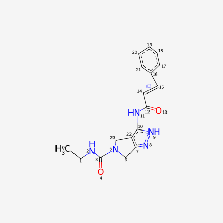 CCNC(=O)N1Cc2n[nH]c(NC(=O)/C=C/c3ccccc3)c2C1